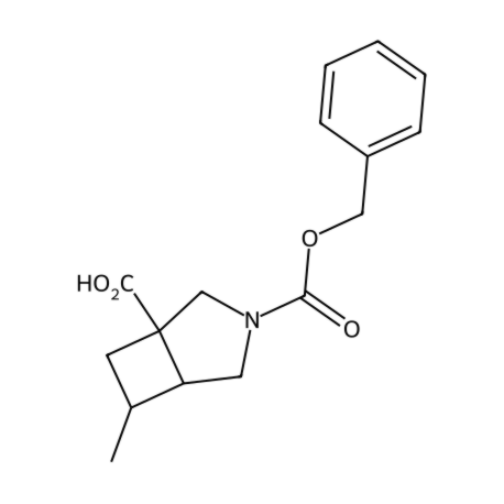 CC1CC2(C(=O)O)CN(C(=O)OCc3ccccc3)CC12